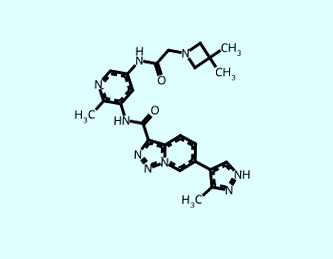 Cc1ncc(NC(=O)CN2CC(C)(C)C2)cc1NC(=O)c1nnn2cc(-c3c[nH]nc3C)ccc12